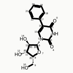 O=c1[nH]c(=O)n([C@@H]2O[C@H](CO)[C@H](O)[C@H]2O)cc1-c1ccccc1